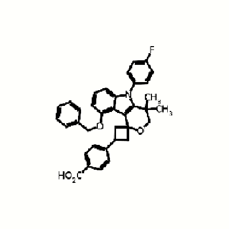 CC1(C)COC2(CC(c3ccc(C(=O)O)cc3)C2)c2c1n(-c1ccc(F)cc1)c1cccc(OCc3ccccc3)c21